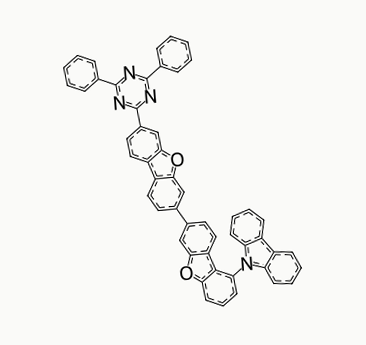 c1ccc(-c2nc(-c3ccccc3)nc(-c3ccc4c(c3)oc3cc(-c5ccc6c(c5)oc5cccc(-n7c8ccccc8c8ccccc87)c56)ccc34)n2)cc1